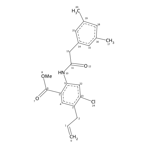 C=CCc1cc(C(=O)OC)c(NC(=O)Cc2cc(C)cc(C)c2)cc1Cl